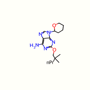 CCCC(C)(C)COc1nc(N)c2ncn(C3CCCCO3)c2n1